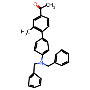 CC(=O)c1ccc(-c2ccc(N(Cc3ccccc3)Cc3ccccc3)cc2)c(C)c1